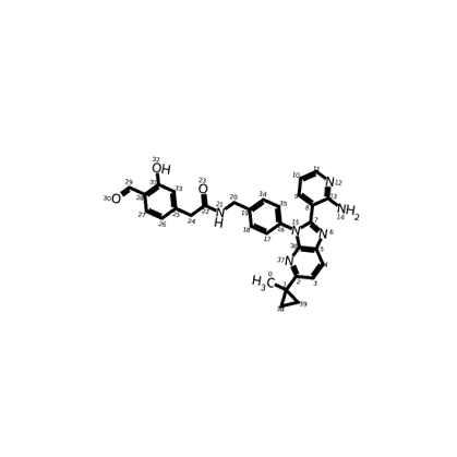 CC1(c2ccc3nc(-c4cccnc4N)n(-c4ccc(CNC(=O)Cc5ccc(C=O)c(O)c5)cc4)c3n2)CC1